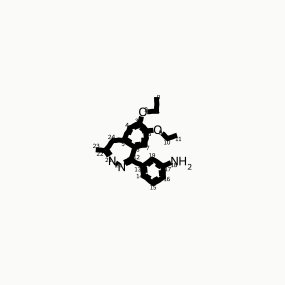 CCOc1cc2c(cc1OCC)C(c1cccc(N)c1)=NN=C(C)C2